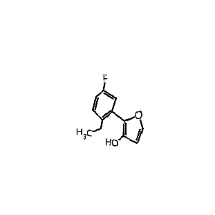 CCc1ccc(F)cc1-c1occc1O